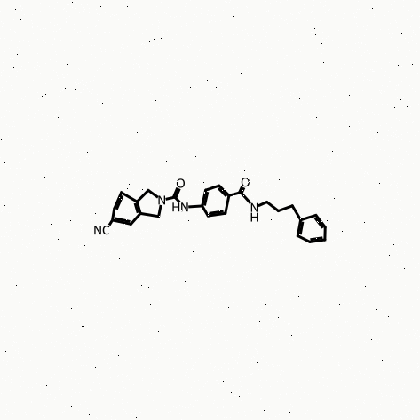 N#Cc1ccc2c(c1)CN(C(=O)Nc1ccc(C(=O)NCCCc3ccccc3)cc1)C2